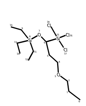 CCCOCCC(O[Si](CC)(CC)CC)[Si](Cl)(Cl)Cl